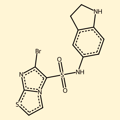 O=S(=O)(Nc1ccc2c(c1)CCN2)c1c(Br)nc2sccn12